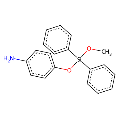 CO[Si](Oc1ccc(N)cc1)(c1ccccc1)c1ccccc1